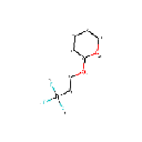 F[B-](F)(F)CCOC1CCCCO1